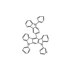 c1ccc(-n2c3ccccc3c3cc(-c4c5c6ccccc6n(-c6ccccc6)c5cc5c4c4ccccc4n5-c4cccnc4)ccc32)cc1